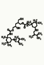 C=C(C)C(=C)CNC1CC(C)(C)CC(C)(CNC(=O)OCC(O)CC(CO)COC(=O)NCC2(C)CC(NCC(=C)C(=C)C)CC(C)(C)C2)C1